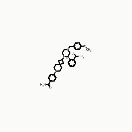 COc1ccc(CN2CCN(C3CC4(CCN(c5ccc(C(N)=O)cc5)CC4)C3)[C@H](c3ccccc3C(C)C)C2)cc1